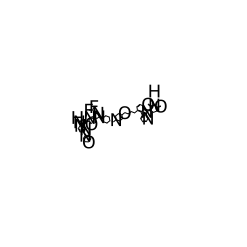 O=C1CCC(n2c3cccc(CCCOC4CCN(C[C@H]5CC[C@H](n6cc(NC(=O)c7cnn8ccc(N9CCOCC9)nc78)c(C(F)F)n6)CC5)CC4)c3c3cccnc32)C(=O)N1